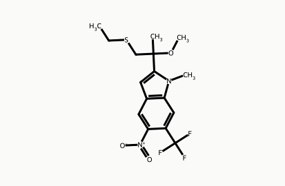 CCSCC(C)(OC)c1cc2cc([N+](=O)[O-])c(C(F)(F)F)cc2n1C